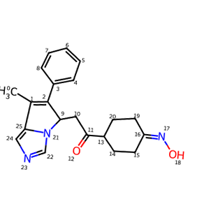 CC1=C(c2ccccc2)C(CC(=O)C2CCC(=NO)CC2)n2cncc21